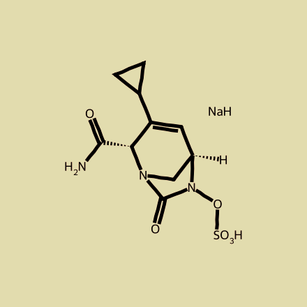 NC(=O)[C@@H]1C(C2CC2)=C[C@@H]2CN1C(=O)N2OS(=O)(=O)O.[NaH]